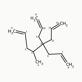 C=CCC(C)C(CC=C)(CC=C)CC=C